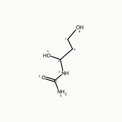 NC(=O)NC(O)CCO